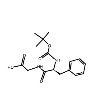 CC(C)(C)OC(=O)N[C@@H](Cc1ccccc1)C(=O)NCC(=O)O